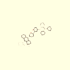 N#CC1CCCCC1c1c2ccccc2c(-c2ccc3c(c2)oc2ccc(C4c5ccccc5C(c5ccccc5)=C5C=CC=CC54)cc23)c2ccccc12